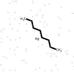 [Ag].[CH2]CCCCCCC